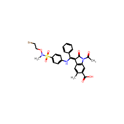 CC(=O)N1C(=O)C(=C(Nc2ccc(S(=O)(=O)N(C)OCCBr)cc2)c2ccccc2)c2cc(C)c(C(=O)O)cc21